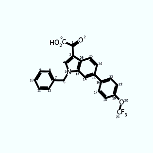 O=C(O)C(=O)c1cn(Cc2ccccc2)c2cc(-c3ccc(OC(F)(F)F)cc3)ccc12